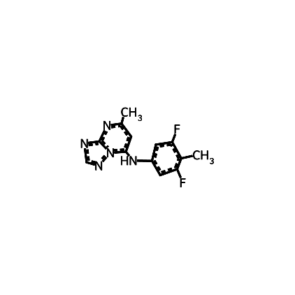 Cc1cc(Nc2cc(F)c(C)c(F)c2)n2ncnc2n1